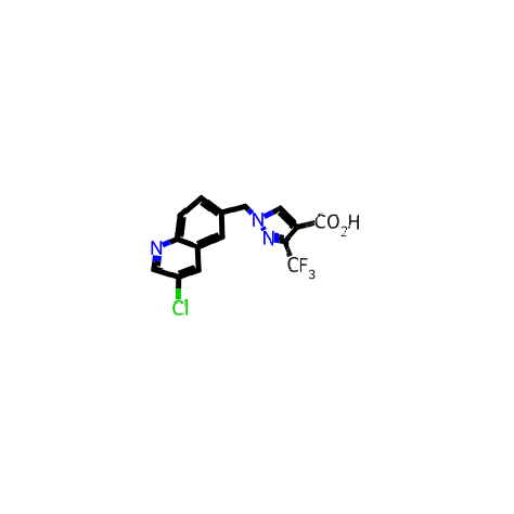 O=C(O)c1cn(Cc2ccc3ncc(Cl)cc3c2)nc1C(F)(F)F